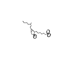 CCCCC(C)C=CC1C2CC(=O)C(CCCCCCC(=O)OC)C12